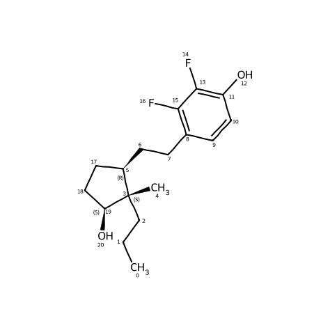 CCC[C@@]1(C)[C@H](CCc2ccc(O)c(F)c2F)CC[C@@H]1O